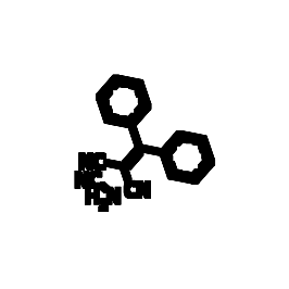 N#CC(C#N)=C(c1ccccc1)c1ccccc1.N#CN